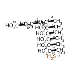 CC(=O)O.CC(=O)O.CC(=O)O.CC(=O)O.CC(=O)O.CC(=O)O.CC(=O)O.CC(=O)O.S